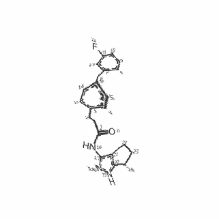 O=C(Cc1ccc(-c2cccc(F)c2)cc1)Nc1n[nH]c2c1CCC2